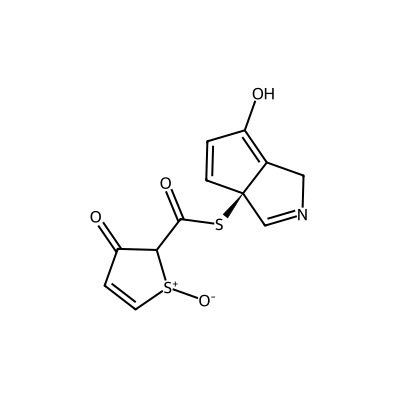 O=C1C=C[S+]([O-])C1C(=O)S[C@@]12C=CC(O)=C1CN=C2